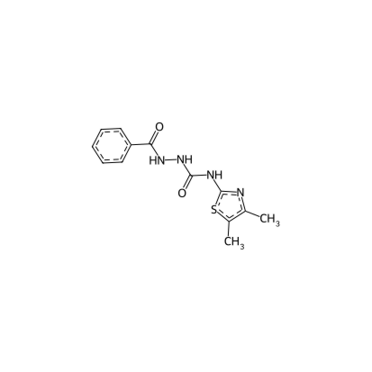 Cc1nc(NC(=O)NNC(=O)c2ccccc2)sc1C